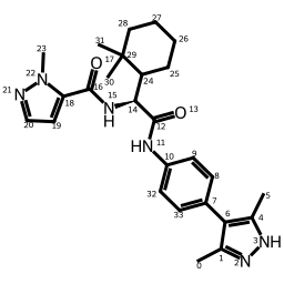 Cc1n[nH]c(C)c1-c1ccc(NC(=O)[C@@H](NC(=O)c2ccnn2C)C2CCCCC2(C)C)cc1